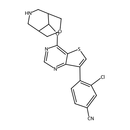 N#Cc1ccc(-c2csc3c(OC4C5CNCC4COC5)ncnc23)c(Cl)c1